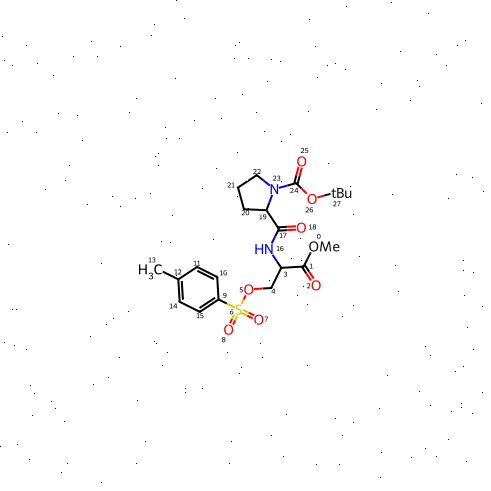 COC(=O)C(COS(=O)(=O)c1ccc(C)cc1)NC(=O)C1CCCN1C(=O)OC(C)(C)C